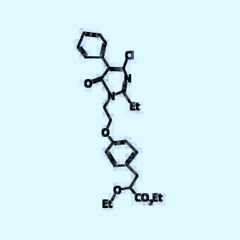 CCOC(=O)C(Cc1ccc(OCCn2c(CC)nc(Cl)c(-c3ccccc3)c2=O)cc1)OCC